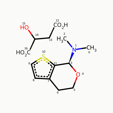 CN(C)[C@H]1OCCc2ccsc21.O=C(O)CC(O)C(=O)O